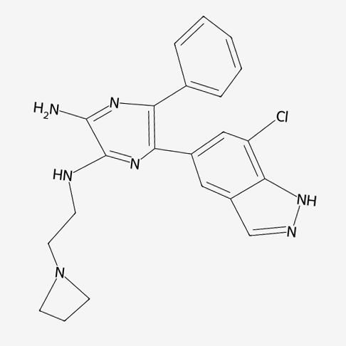 Nc1nc(-c2ccccc2)c(-c2cc(Cl)c3[nH]ncc3c2)nc1NCCN1CCC1